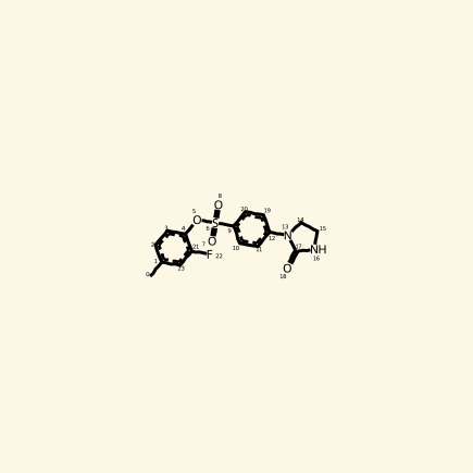 Cc1ccc(OS(=O)(=O)c2ccc(N3CCNC3=O)cc2)c(F)c1